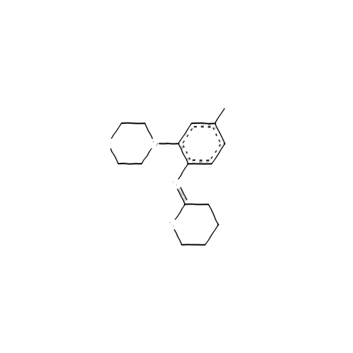 Clc1ccc(/N=C2\CCCCN2)c(N2CCOCC2)c1